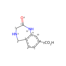 O=C1CNCc2ccc(C(=O)O)cc2N1